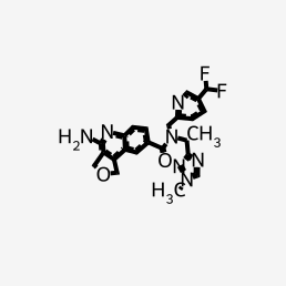 CC(c1ncn(C)n1)N(Cc1ccc(C(F)F)cn1)C(=O)c1ccc2nc(N)c3c(c2c1)COC3